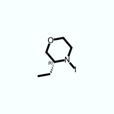 CC[C@@H]1COCCN1I